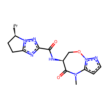 CC(C)[C@@H]1CCc2nc(C(=O)N[C@H]3COn4nccc4N(C)C3=O)nn21